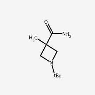 CC1(C(N)=O)CN(C(C)(C)C)C1